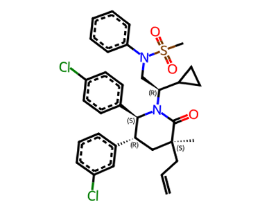 C=CC[C@@]1(C)C[C@H](c2cccc(Cl)c2)[C@@H](c2ccc(Cl)cc2)N([C@@H](CN(c2ccccc2)S(C)(=O)=O)C2CC2)C1=O